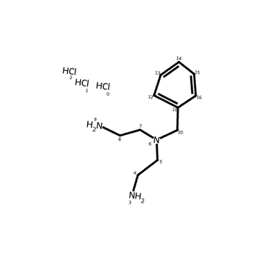 Cl.Cl.Cl.NCCN(CCN)Cc1ccccc1